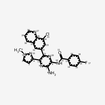 Cn1ccc(-c2nc(N)c(NC(=O)c3ccc(F)cc3)nc2-c2cc(Cl)c3ncccc3c2)n1